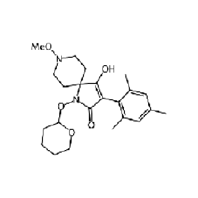 CON1CCC2(CC1)C(O)=C(c1c(C)cc(C)cc1C)C(=O)N2OC1CCCCO1